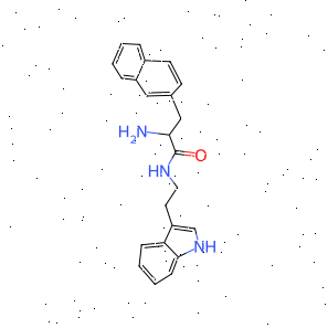 NC(Cc1ccc2ccccc2c1)C(=O)NCCc1c[nH]c2ccccc12